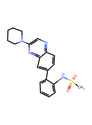 CS(=O)(=O)Nc1ccccc1-c1ccc2ncc(N3CCCCC3)nc2c1